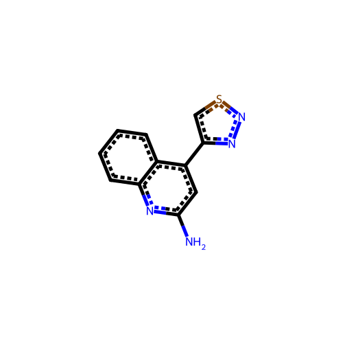 Nc1cc(-c2csnn2)c2ccccc2n1